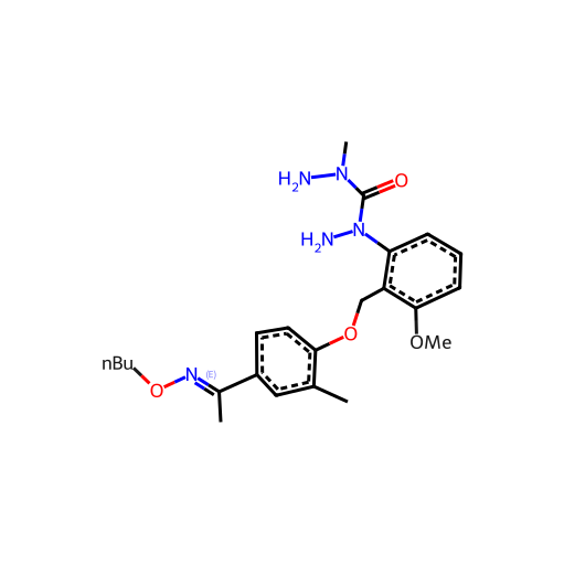 CCCCO/N=C(\C)c1ccc(OCc2c(OC)cccc2N(N)C(=O)N(C)N)c(C)c1